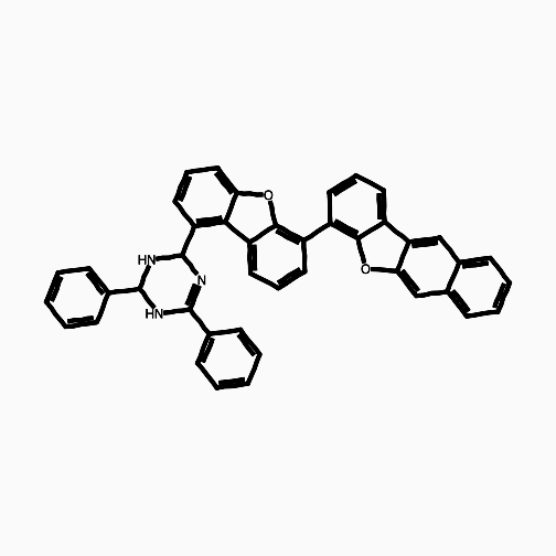 c1ccc(C2=NC(c3cccc4oc5c(-c6cccc7c6oc6cc8ccccc8cc67)cccc5c34)NC(c3ccccc3)N2)cc1